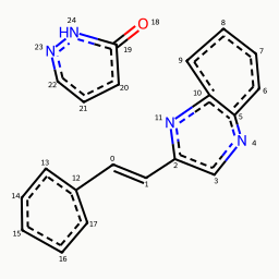 C(=Cc1cnc2ccccc2n1)c1ccccc1.O=c1cccn[nH]1